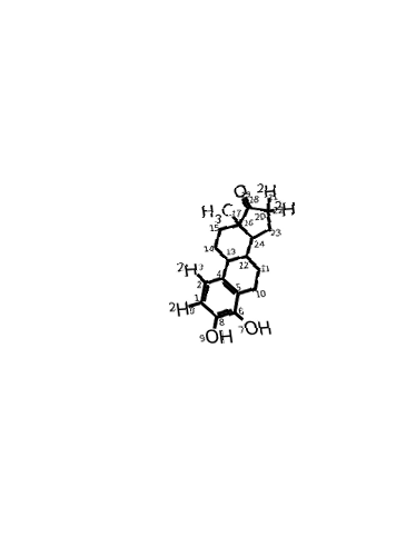 [2H]c1c([2H])c2c(c(O)c1O)CCC1C2CCC2(C)C(=O)C([2H])([2H])CC12